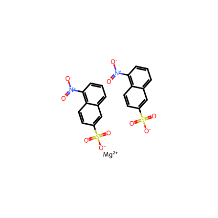 O=[N+]([O-])c1cccc2cc(S(=O)(=O)[O-])ccc12.O=[N+]([O-])c1cccc2cc(S(=O)(=O)[O-])ccc12.[Mg+2]